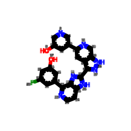 Oc1cncc(-c2cc3c(-c4nc5c(-c6cc(O)cc(F)c6)nccc5[nH]4)n[nH]c3cn2)c1